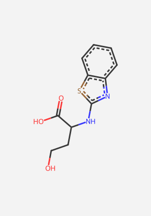 O=C(O)C(CCO)Nc1nc2ccccc2s1